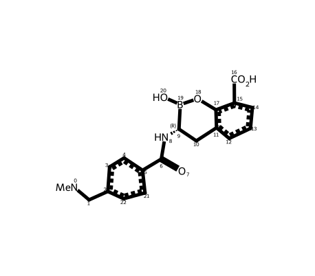 CNCc1ccc(C(=O)N[C@H]2Cc3cccc(C(=O)O)c3OB2O)cc1